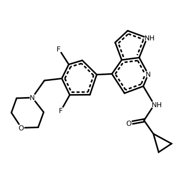 O=C(Nc1cc(-c2cc(F)c(CN3CCOCC3)c(F)c2)c2cc[nH]c2n1)C1CC1